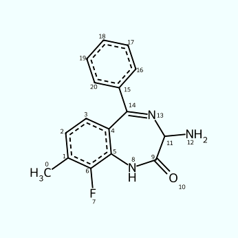 Cc1ccc2c(c1F)NC(=O)C(N)N=C2c1ccccc1